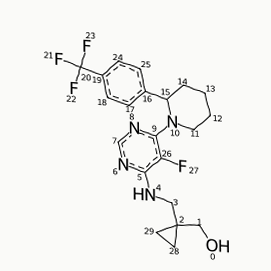 OCC1(CNc2ncnc(N3CCCCC3c3ccc(C(F)(F)F)cc3)c2F)CC1